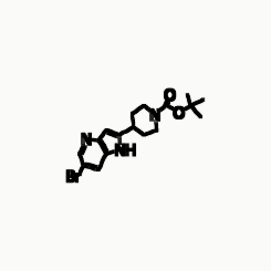 CC(C)(C)OC(=O)N1CCC(c2cc3ncc(Br)cc3[nH]2)CC1